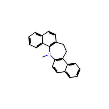 CN1c2ccc3ccccc3c2CCc2ccc3ccccc3c21